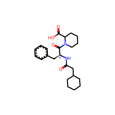 O=C(CC1CCCCC1)N[C@@H](Cc1ccccc1)C(=O)N1CCCCC1C(=O)O